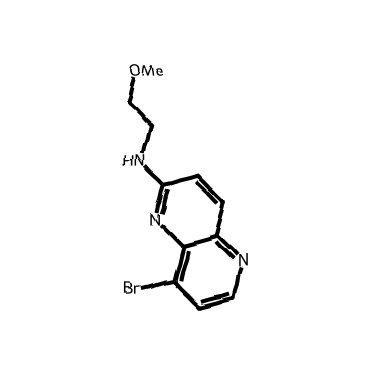 COCCNc1ccc2nccc(Br)c2n1